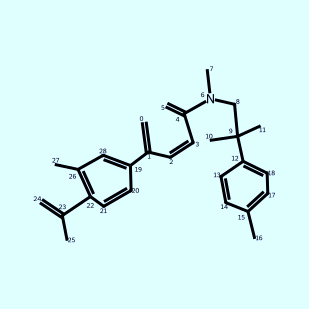 C=C(/C=C\C(=C)N(C)CC(C)(C)c1ccc(C)cc1)c1ccc(C(=C)C)c(C)c1